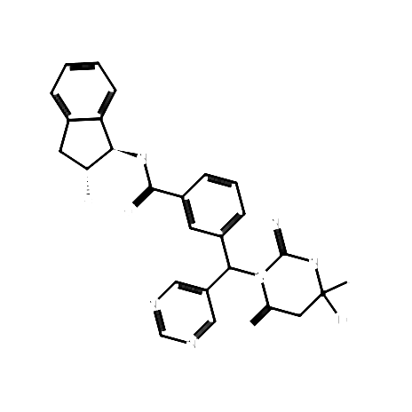 CCC1(CC)CC(=O)N(C(c2cncnc2)c2cccc(C(=O)N[C@@H]3c4ccccc4C[C@H]3O)c2)C(=N)N1